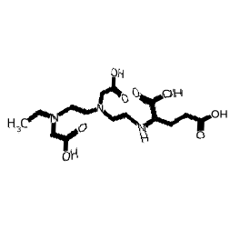 CCN(CCN(CCNC(CCC(=O)O)C(=O)O)CC(=O)O)CC(=O)O